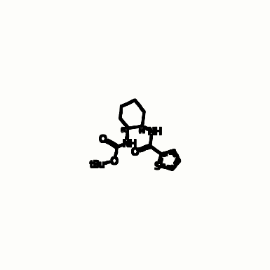 CC(C)(C)OC(=O)N[C@H]1CCCC[C@H]1NC(=O)c1cccs1